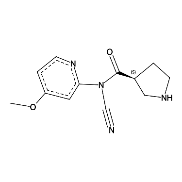 COc1ccnc(N(C#N)C(=O)[C@H]2CCNC2)c1